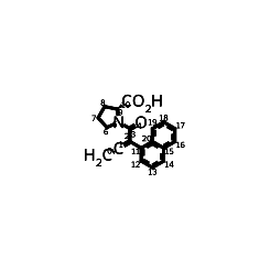 C=C=C(C(=O)N1CCC[C@H]1C(=O)O)c1cccc2ccccc12